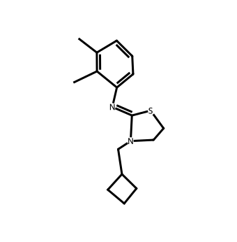 Cc1cccc(/N=C2\SCCN2CC2CCC2)c1C